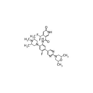 CC1CN(c2ncc(-c3cc(NC(=O)c4c[nH]c(=O)cc4C(F)F)c(N4CC(C)N(C)C(C)C4)cc3F)cn2)CC(C)O1